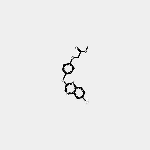 COC(=O)COc1ccc(Oc2cnc3cc(Cl)ccc3n2)cc1